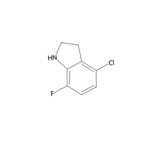 Fc1ccc(Cl)c2c1NCC2